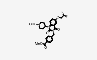 COC(=O)c1ccc(Cn2c(=O)c3cc(OCC(F)F)ccc3n(C3CCN(C=O)CC3)c2=O)cc1